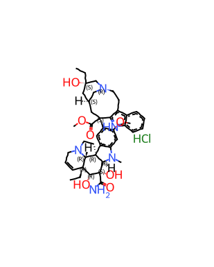 CC[C@]1(O)C[C@H]2C[N@](CCc3c([nH]c4ccccc34)[C@@](C(=O)OC)(c3cc4c(cc3OC)N(C)[C@H]3[C@@](O)(C(N)=O)[C@H](O)[C@]5(CC)C=CCN6CC[C@]43[C@@H]65)C2)C1.Cl